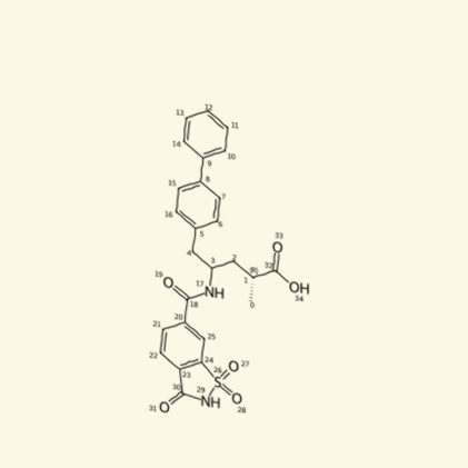 C[C@H](CC(Cc1ccc(-c2ccccc2)cc1)NC(=O)c1ccc2c(c1)S(=O)(=O)NC2=O)C(=O)O